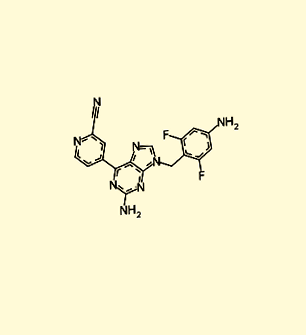 N#Cc1cc(-c2nc(N)nc3c2ncn3Cc2c(F)cc(N)cc2F)ccn1